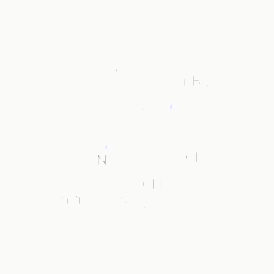 C=C(CCC)/N=C(\C(C)C(C)/C=C/CCCC)C1C2CCC1COC2